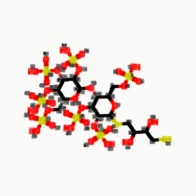 O=S(=O)(O)OC[C@H]1O[C@@H](SCC(O)C(O)CS)[C@H](OS(=O)(=O)O)[C@@H](OS(=O)(=O)O)[C@@H]1O[C@H]1O[C@H](COS(=O)(=O)O)[C@@H](OS(=O)(=O)O)[C@H](OS(=O)(=O)O)[C@H]1OS(=O)(=O)O